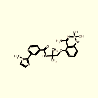 Cn1ccnc1-c1cc(C(=O)NC(C)(C)COc2cccc3c2C(N)=NS(O)(O)N3)ccn1